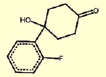 O=C1CCC(O)(c2ccccc2F)CC1